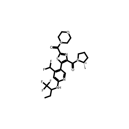 CCC(Nc1cc(C(F)F)c(-c2sc(C(=O)N3CCOCC3)nc2C(=O)N2CCC[C@@H]2C)cn1)C(F)(F)F